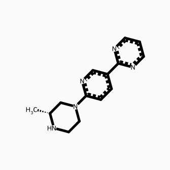 C[C@@H]1CN(c2ccc(-c3ncccn3)cn2)CCN1